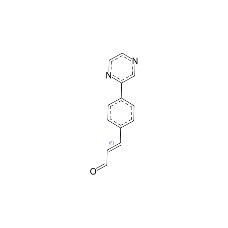 O=C/C=C/c1ccc(-c2cnccn2)cc1